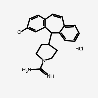 Cl.N=C(N)N1CCC(C2c3ccccc3C=Cc3ccc(Cl)cc32)CC1